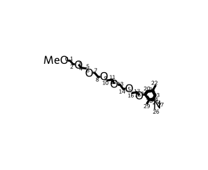 COCCOCCOCCOCCOCCOCCOc1cc(C)cc(N(C)C)c1C